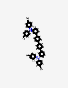 Cc1ccc(N(c2ccc(C)cc2)c2cccc(-c3ccc(-c4ccc(-c5cccc(N(c6ccc(C)cc6)c6ccc(C)cc6)c5)cc4)cc3)c2)cc1